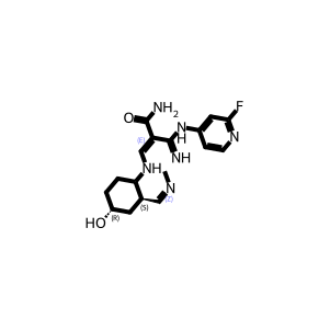 C/N=C\[C@H]1C[C@H](O)CCC1N/C=C(\C(=N)Nc1ccnc(F)c1)C(N)=O